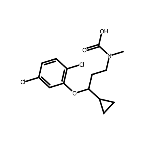 CN(CCC(Oc1cc(Cl)ccc1Cl)C1CC1)C(=O)O